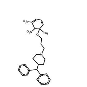 O=[N+]([O-])C1=CC=CC(O)(OCCCN2CCC(C(c3ccccc3)c3ccccc3)CC2)C1[N+](=O)[O-]